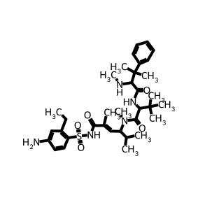 CCc1cc(N)ccc1S(=O)(=O)NC(=O)C(C)=CC(C(C)C)N(C)C(=O)C(NC(=O)C(NC)C(C)(C)c1ccccc1)C(C)(C)C